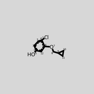 Oc1ccc(Cl)c(OCC2CC2)c1